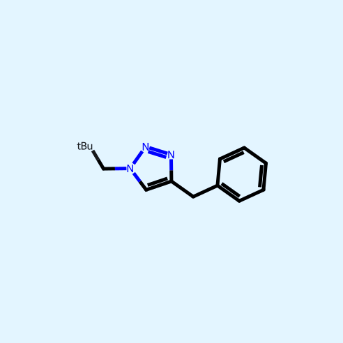 CC(C)(C)Cn1cc(Cc2ccccc2)nn1